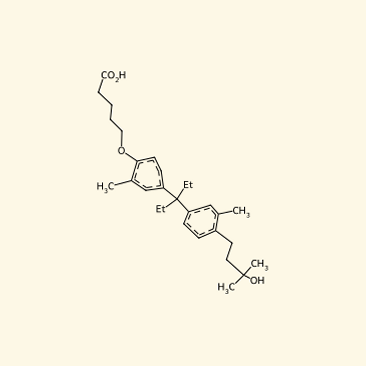 CCC(CC)(c1ccc(CCC(C)(C)O)c(C)c1)c1ccc(OCCCCC(=O)O)c(C)c1